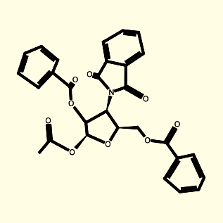 CC(=O)O[C@@H]1O[C@H](COC(=O)c2ccccc2)[C@H](N2C(=O)c3ccccc3C2=O)C1OC(=O)c1ccccc1